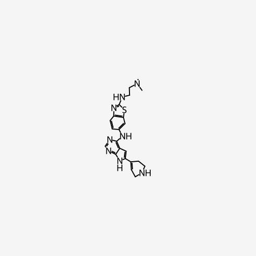 CN(C)CCNc1nc2ccc(Nc3ncnc4[nH]c(C5=CCNCC5)cc34)cc2s1